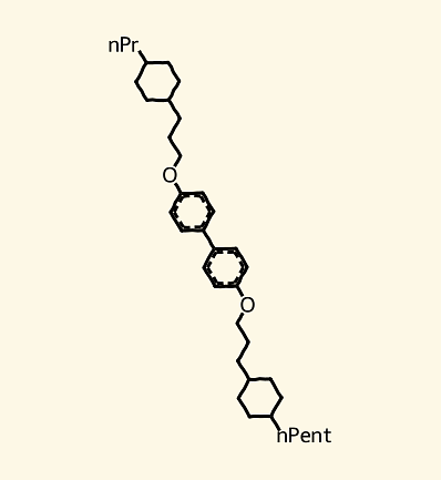 CCCCCC1CCC(CCCOc2ccc(-c3ccc(OCCCC4CCC(CCC)CC4)cc3)cc2)CC1